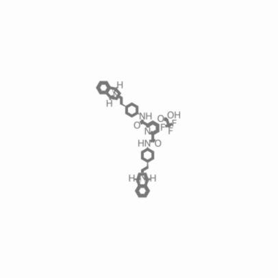 O=C(N[C@H]1CC[C@H](CCN2[C@@H]3CC[C@H]2c2ccccc23)CC1)c1cccc(C(=O)N[C@H]2CC[C@H](CCN3[C@@H]4CC[C@H]3c3ccccc34)CC2)n1.O=C(O)C(F)(F)F